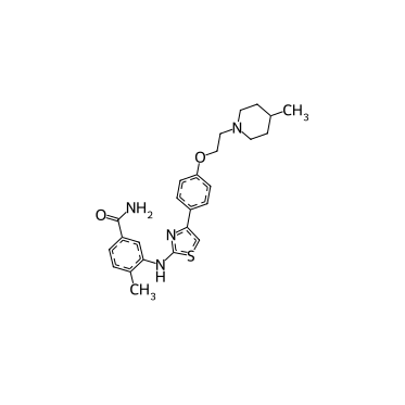 Cc1ccc(C(N)=O)cc1Nc1nc(-c2ccc(OCCN3CCC(C)CC3)cc2)cs1